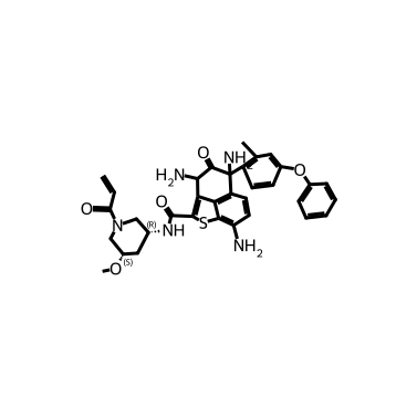 C=CC(=O)N1C[C@H](NC(=O)c2sc3c(N)ccc4c3c2C(N)C(=O)C4(N)c2ccc(Oc3ccccc3)cc2C)C[C@H](OC)C1